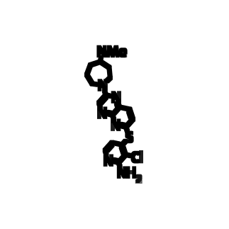 CNC1CCCN(c2cnc3nc(Sc4ccnc(N)c4Cl)ccc3n2)CC1